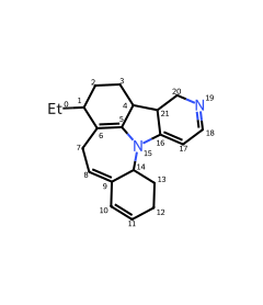 CCC1CCC2C3=C1CC=C1C=CCCC1N3C1=CC=NCC12